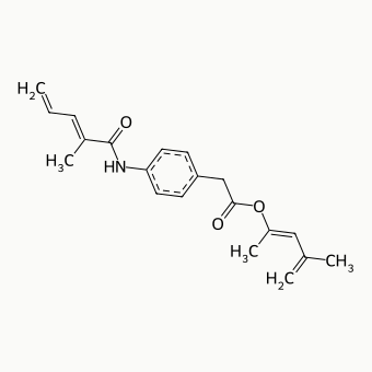 C=C/C=C(\C)C(=O)Nc1ccc(CC(=O)O/C(C)=C/C(=C)C)cc1